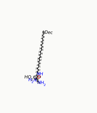 CCCCCCCCCCCCCCCCCCCCCCCCC=CCCCCCCCCNCC(=O)C(N)(CCN)C(=O)O